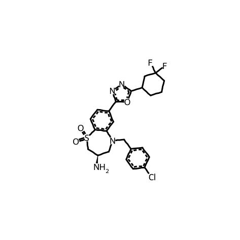 N[C@@H]1CN(Cc2ccc(Cl)cc2)c2cc(-c3nnc(C4CCCC(F)(F)C4)o3)ccc2S(=O)(=O)C1